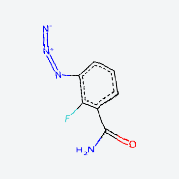 [N-]=[N+]=Nc1cccc(C(N)=O)c1F